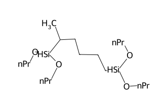 CCCO[SiH](CCCCC(C)[SiH](OCCC)OCCC)OCCC